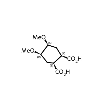 CO[C@H]1C[C@@H](C(=O)O)[C@@H](C(=O)O)C[C@H]1OC